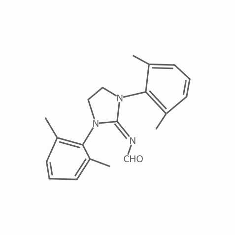 Cc1cccc(C)c1N1CCN(c2c(C)cccc2C)C1=NC=O